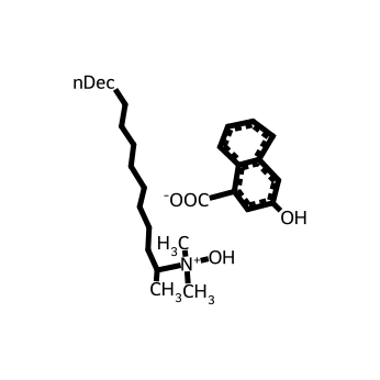 CCCCCCCCCCCCCCCCCCC(C)[N+](C)(C)O.O=C([O-])c1cc(O)cc2ccccc12